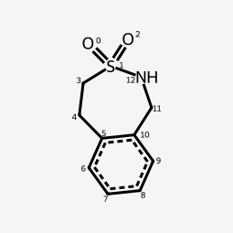 O=S1(=O)CCc2ccccc2CN1